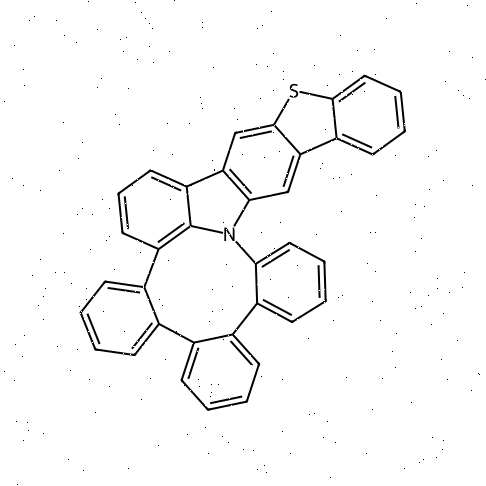 c1ccc2c(c1)sc1cc3c4cccc5c6ccccc6c6ccccc6c6ccccc6n(c3cc12)c54